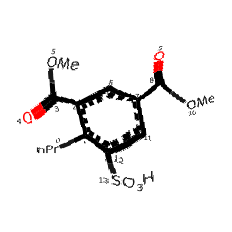 CCCc1c(C(=O)OC)cc(C(=O)OC)cc1S(=O)(=O)O